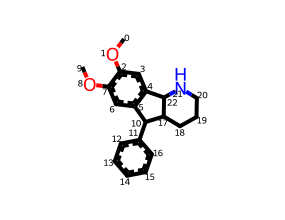 COc1cc2c(cc1OC)C(c1ccccc1)C1CCCNC21